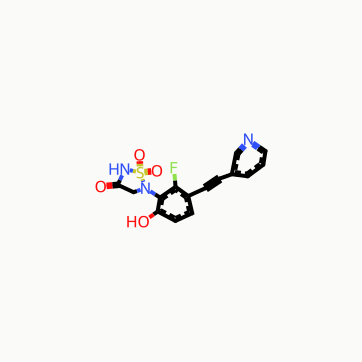 O=C1CN(c2c(O)ccc(C#Cc3cccnc3)c2F)S(=O)(=O)N1